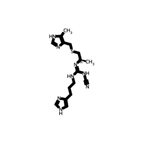 Cc1[nH]cnc1CSC[C@@H](C)N=C(NC#N)NCCCc1c[nH]cn1